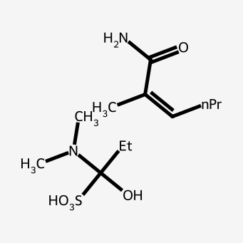 CCC(O)(N(C)C)S(=O)(=O)O.CCCC=C(C)C(N)=O